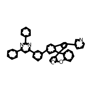 c1ccc(-c2cc(-c3cccc(-c4ccc5c(c4)C4(c6ccccc6Oc6ccccc64)c4cc(-c6cccnc6)ccc4-5)c3)nc(-c3ccccc3)n2)cc1